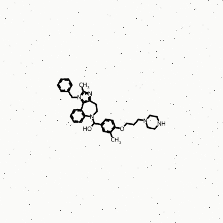 Cc1cc(C(O)N2CCc3nc(C)n(Cc4ccccc4)c3-c3ccccc32)ccc1OCCCN1CCNCC1